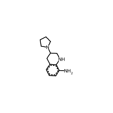 Nc1cccc2c1NCC(N1CCCC1)C2